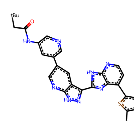 Cc1ccc(-c2ccnc3[nH]c(-c4n[nH]c5ncc(-c6cncc(NC(=O)CC(C)(C)C)c6)cc45)nc23)s1